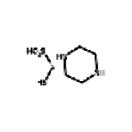 C1CNCCN1.O=S(=O)(O)SS